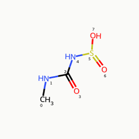 CNC(=O)NS(=O)O